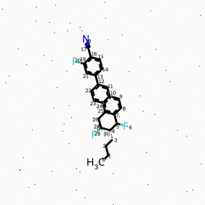 CCCC[C@H]1C(F)c2ccc3cc(-c4ccc(C#N)c(F)c4)ccc3c2C[C@@H]1F